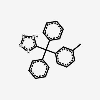 Cc1cccc(C(c2ccccc2)(c2ccccc2)c2nnn[nH]2)c1